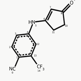 N#Cc1ccc(NC2=CC(=O)CC2)cc1C(F)(F)F